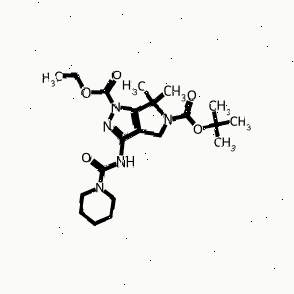 CCOC(=O)n1nc(NC(=O)N2CCCCC2)c2c1C(C)(C)N(C(=O)OC(C)(C)C)C2